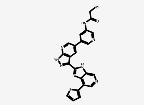 CC(C)CC(=O)Nc1cncc(-c2cnc3[nH]nc(-c4nc5c(-c6cccs6)cncc5[nH]4)c3c2)c1